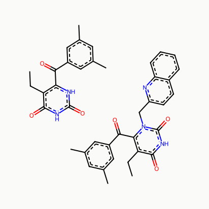 CCc1c(C(=O)c2cc(C)cc(C)c2)[nH]c(=O)[nH]c1=O.CCc1c(C(=O)c2cc(C)cc(C)c2)n(Cc2ccc3ccccc3n2)c(=O)[nH]c1=O